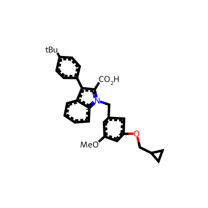 COc1cc(Cn2c(C(=O)O)c(-c3ccc(C(C)(C)C)cc3)c3ccccc32)cc(OCC2CC2)c1